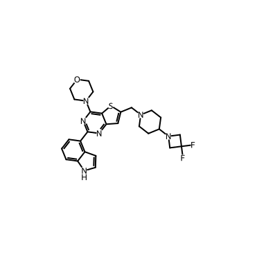 FC1(F)CN(C2CCN(Cc3cc4nc(-c5cccc6[nH]ccc56)nc(N5CCOCC5)c4s3)CC2)C1